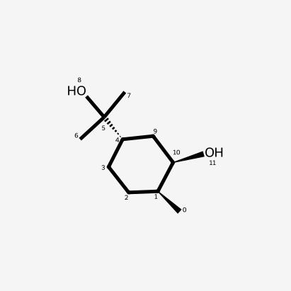 C[C@H]1CC[C@H](C(C)(C)O)C[C@H]1O